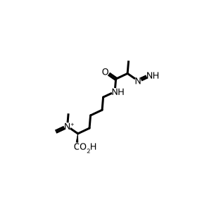 C=[N+](C)[C@@H](CCCCNC(=O)C(C)N=N)C(=O)O